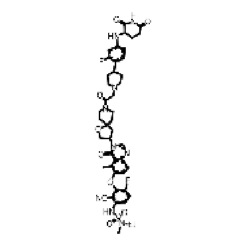 CCN(C)S(=O)(=O)Nc1ccc(F)c(Oc2ccc3ncn(C4COC5(CCN(C(=O)CN6CCC(c7ccc(NC8CCC(=O)NC8=O)cc7F)CC6)CC5)C4)c(=O)c3c2C)c1C#N